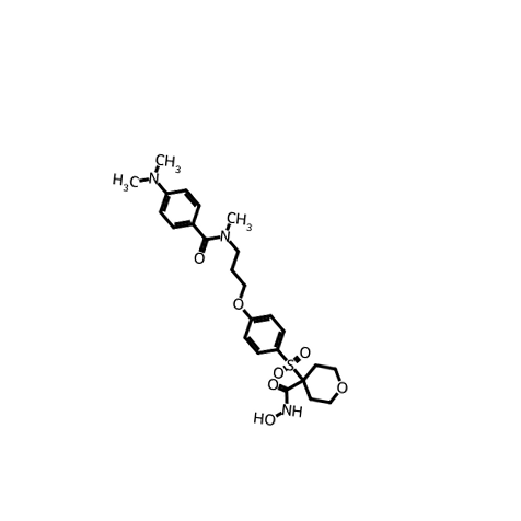 CN(CCCOc1ccc(S(=O)(=O)C2(C(=O)NO)CCOCC2)cc1)C(=O)c1ccc(N(C)C)cc1